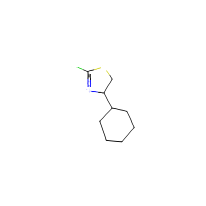 ClC1=NC(C2CCCCC2)CS1